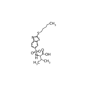 CCCCCSc1nc2ccc(S(=O)(=O)N[C@@H](C(=O)O)C(C)C)cc2s1